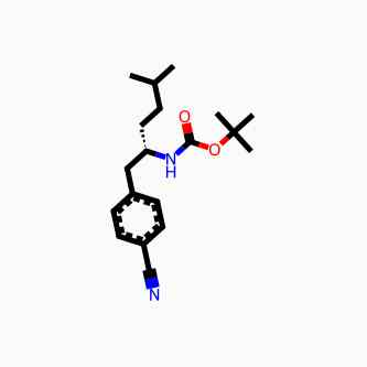 CC(C)CC[C@@H](Cc1ccc(C#N)cc1)NC(=O)OC(C)(C)C